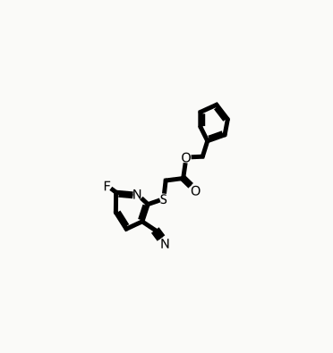 N#Cc1ccc(F)nc1SCC(=O)OCc1ccccc1